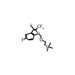 C[Si](C)(C)CCOCn1c(C(F)(F)F)c(I)c2cc(F)ccc21